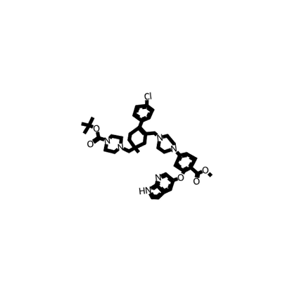 COC(=O)c1ccc(N2CCN(CC3=C(c4ccc(Cl)cc4)CCC(C)(CN4CCN(C(=O)OC(C)(C)C)CC4)C3)CC2)cc1Oc1cnc2[nH]ccc2c1